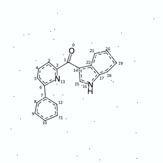 O=C(c1cccc(-c2ccccc2)n1)c1c[nH]c2ccccc12